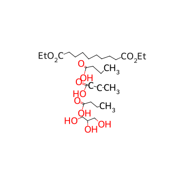 CCCC(=O)O.CCCC(=O)O.CCCC(=O)O.CCOC(=O)CCCCCCCCC(=O)OCC.OCC(O)CO